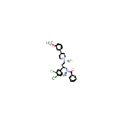 COc1cccc(C2CCN(CCC(CN(C)C(=O)c3ccccc3)c3ccc(Cl)c(Cl)c3)CC2)c1.Cl